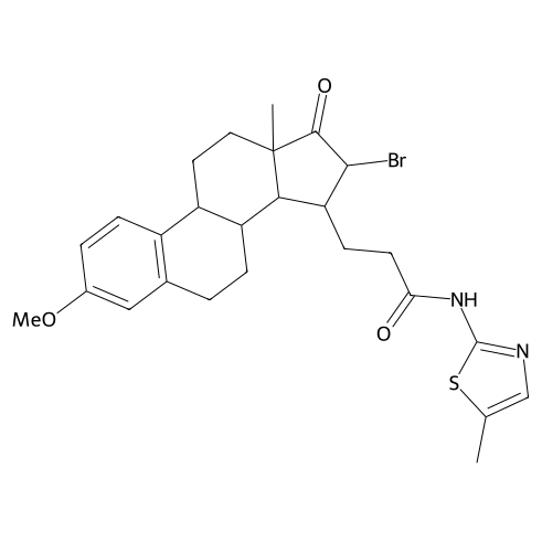 COc1ccc2c(c1)CCC1C2CCC2(C)C(=O)C(Br)C(CCC(=O)Nc3ncc(C)s3)C12